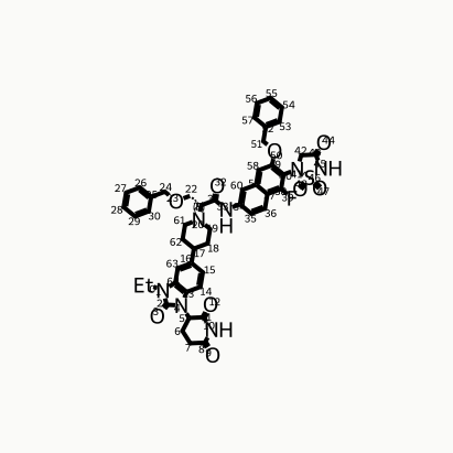 CCn1c(=O)n(C2CCC(=O)NC2=O)c2ccc(C3CCN([C@H](COCc4ccccc4)C(=O)Nc4ccc5c(F)c(N6CC(=O)NS6(=O)=O)c(OCc6ccccc6)cc5c4)CC3)cc21